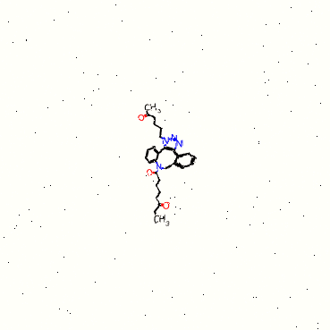 CCC(=O)CCCCC(=O)N1Cc2ccccc2-c2nnn(CCCCC(C)=O)c2-c2ccccc21